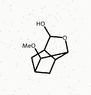 COC1C2CC3C(O)OC1C3C2